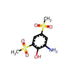 CS(=O)(=O)c1cc(N)c(O)c(S(C)(=O)=O)c1